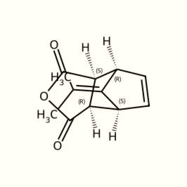 CC(C)=C1[C@H]2C=C[C@@H]1[C@@H]1C(=O)OC(=O)[C@@H]12